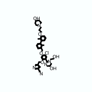 Cc1c(COc2cc(OCc3cncc(C#N)c3)c(C3=NCC(O)CN3CCO)cc2Cl)cccc1-c1cccc(OCCCN2CCC(O)CC2)c1C